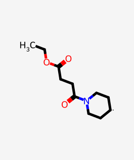 CCOC(=O)CCC(=O)N1CC[CH]CC1